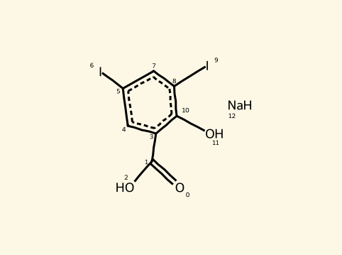 O=C(O)c1cc(I)cc(I)c1O.[NaH]